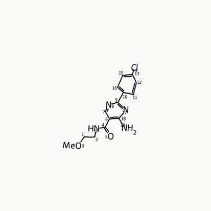 COCCNC(=O)c1cnc(-c2ccc(Cl)cc2)nc1N